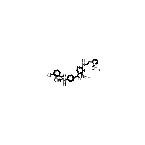 Cn1cccc1CCNc1ncc2c(-c3ccc(NS(=O)(=O)c4cccc(Cl)c4Cl)cc3)nn(C)c2n1